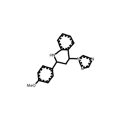 COc1ccc(C2CC(n3cncn3)c3ccccc3N2)cc1